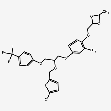 Cc1cc(SCC(COc2ccc(C(F)(F)F)cc2)OCc2ccc(Cl)s2)ccc1OCC1OC(C)O1